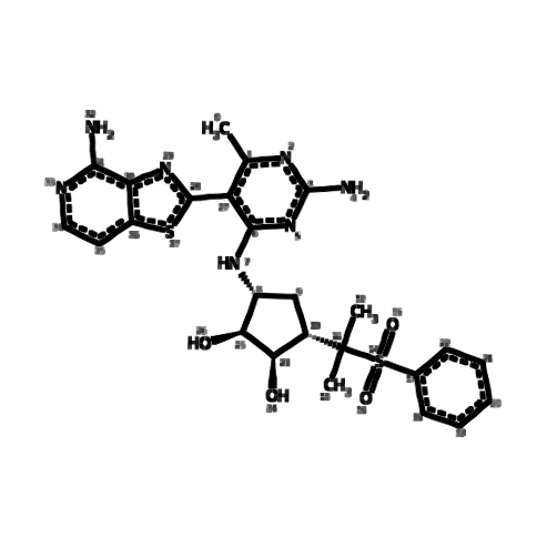 Cc1nc(N)nc(N[C@@H]2C[C@H](C(C)(C)S(=O)(=O)c3ccccc3)[C@@H](O)[C@H]2O)c1-c1nc2c(N)nccc2s1